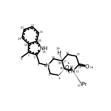 Cc1c(CN2CC[C@]34OC[C@H](C(C)C)N3C(=O)CC[C@@H]4C2)[nH]c2ccccc12